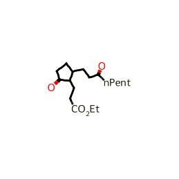 CCCCCC(=O)CCC1CCC(=O)C1CCC(=O)OCC